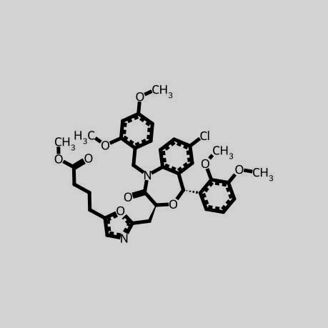 COC(=O)CCCc1cnc(C[C@@H]2O[C@@H](c3cccc(OC)c3OC)c3cc(Cl)ccc3N(Cc3ccc(OC)cc3OC)C2=O)o1